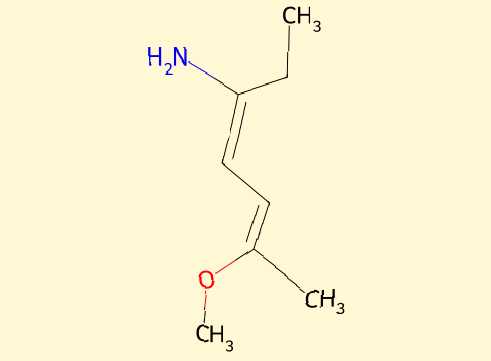 CC/C(N)=C\C=C(\C)OC